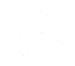 c1ccc(-c2ccc3c(c2)c2cc(-c4ccccc4)ccc2n3-c2nc(-c3ccccc3)c3ccccc3n2)cc1